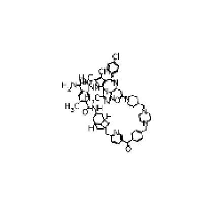 CC[C@@H](C)Nc1cc(C(=O)NC2C[C@H]3CC4(Cc5ccc(C(=O)c6ccc(CN7CCN(CC8CCN(C(=O)C[C@@H]9N=C(c%10ccc(Cl)cc%10)c%10c(sc(C)c%10C)-n%10c(C)nnc%109)CC8)CC7)cc6)cn5)C[C@H](C2)C34)c(C)cc1C(N)=O